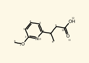 COc1cccc(C(C)CC(=O)O)n1